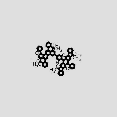 CC1(C)c2ccccc2-c2c1cc1c3c2oc2ccccc2c3c2cc3c(c4oc5cc(-c6cc7c8c(cc9c(cc%10c%11c(cc%12oc%13ccccc%13c%12c%119)C(C)(C)c9ccccc9-%10)c8c6)-c6ccccc6C7(C)C)ccc5c1c42)-c1ccccc1C3(C)C